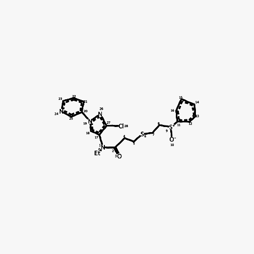 CCN(C(=O)CCSCC[S+]([O-])c1ccccc1)c1cn(-c2cccnc2)nc1Cl